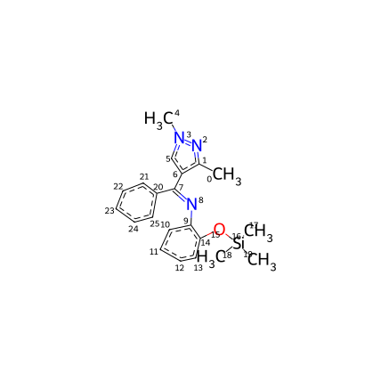 Cc1nn(C)cc1C(=Nc1ccccc1O[Si](C)(C)C)c1ccccc1